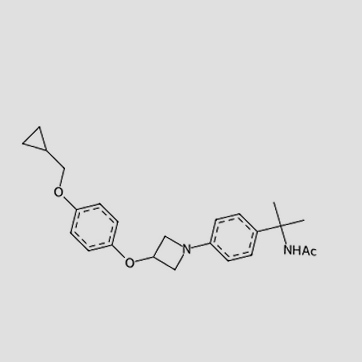 CC(=O)NC(C)(C)c1ccc(N2CC(Oc3ccc(OCC4CC4)cc3)C2)cc1